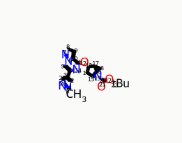 Cn1cc(-c2cn3nccc3c(OC3CC4CC3CN4C(=O)OC(C)(C)C)n2)cn1